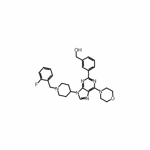 OCc1cccc(-c2nc(N3CCOCC3)c3ncn(C4CCN(Cc5ccccc5F)CC4)c3n2)c1